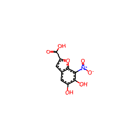 O=C(O)c1cc2cc(O)c(O)c([N+](=O)[O-])c2o1